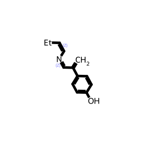 C=C(/C=N\C=C/CC)c1ccc(O)cc1